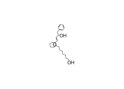 OCCCCCCCC1C2CCC(O2)C1/C=C/C(O)Cc1ccccc1